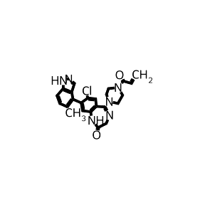 C=CC(=O)N1CCN(C2=NCC(=O)Nc3cc(-c4c(C)ccc5[nH]ncc45)c(Cl)cc32)CC1